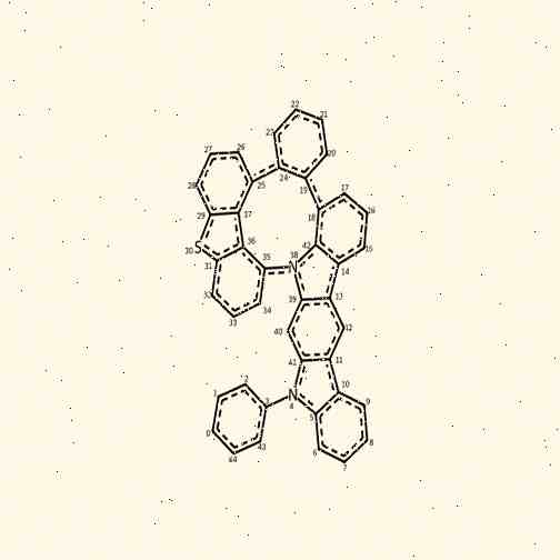 c1ccc(-n2c3ccccc3c3cc4c5cccc6c7ccccc7c7cccc8sc9cccc(c9c87)n(c4cc32)c65)cc1